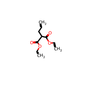 C=CCC(C(=O)OC=C)C(=O)OC=C